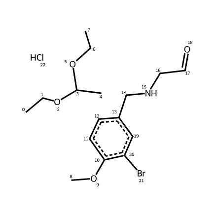 CCOC(C)OCC.COc1ccc(CNCC=O)cc1Br.Cl